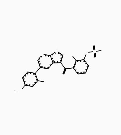 CCCCS(=O)(=O)Nc1cccc(C(=O)c2c[nH]c3ncc(-c4ccc(OC)cc4Cl)cc23)c1F